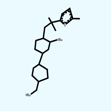 Cc1ccc(C(C)(C)CC2CCC(C3CCC(CC(C)(C)C)CC3)CC2C(C)(C)C)s1